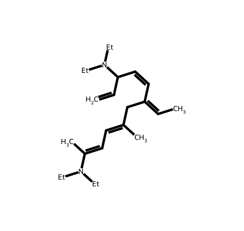 C=CC(/C=C\C(=C/C)C/C(C)=C/C=C(\C)N(CC)CC)N(CC)CC